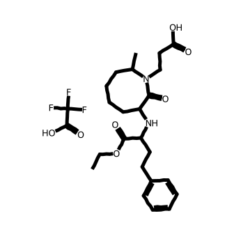 CCOC(=O)C(CCc1ccccc1)NC1CCCCC(C)N(CCC(=O)O)C1=O.O=C(O)C(F)(F)F